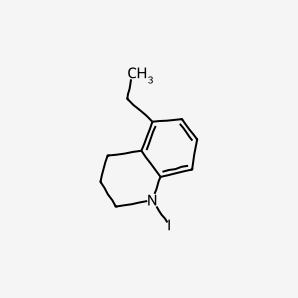 CCc1cccc2c1CCCN2I